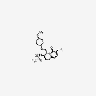 CCCOC1CCC(OCC2C(NS(C)(=O)=O)CCc3ccc(C)c(=O)n32)CC1